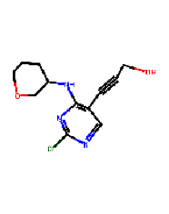 OCC#Cc1cnc(Cl)nc1NC1CCCOC1